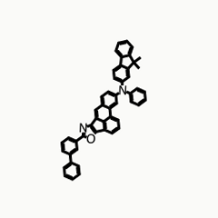 CC1(C)c2ccccc2-c2ccc(N(c3ccccc3)c3ccc4cc5c6c(cccc6c4c3)-c3oc(-c4cccc(-c6ccccc6)c4)nc3-5)cc21